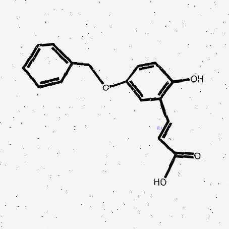 O=C(O)/C=C/c1cc(OCc2ccccc2)ccc1O